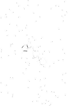 Cc1ccc(N)c(NC2CCN(C3(C)CCCCC3)CC2)c1